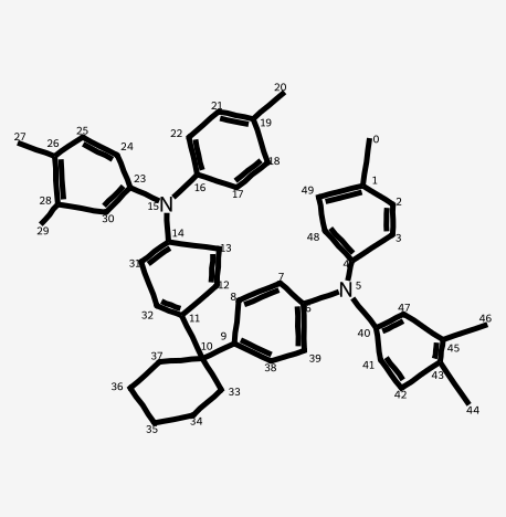 Cc1ccc(N(c2ccc(C3(c4ccc(N(c5ccc(C)cc5)c5ccc(C)c(C)c5)cc4)CCCCC3)cc2)c2ccc(C)c(C)c2)cc1